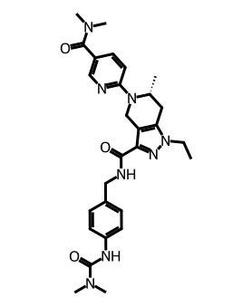 CCn1nc(C(=O)NCc2ccc(NC(=O)N(C)C)cc2)c2c1C[C@@H](C)N(c1ccc(C(=O)N(C)C)cn1)C2